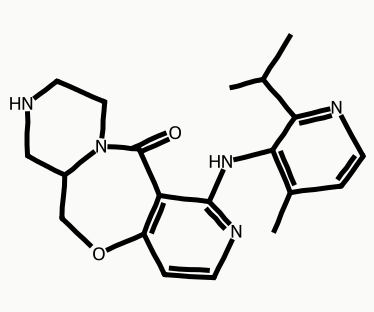 Cc1ccnc(C(C)C)c1Nc1nccc2c1C(=O)N1CCNCC1CO2